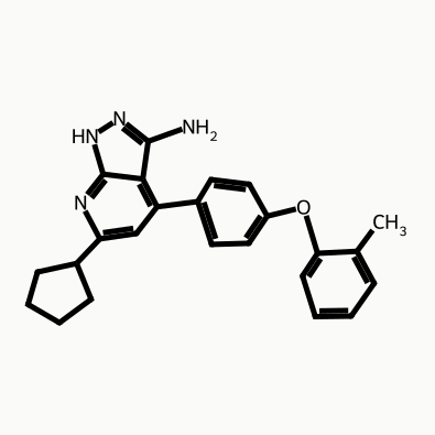 Cc1ccccc1Oc1ccc(-c2cc(C3CCCC3)nc3[nH]nc(N)c23)cc1